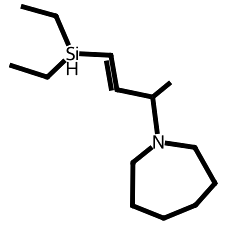 CC[SiH](C=CC(C)N1CCCCCC1)CC